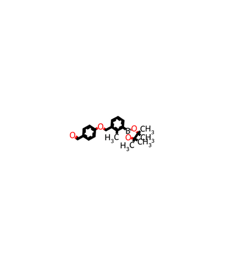 Cc1c(COc2ccc(C=O)cc2)cccc1B1OC(C)(C)C(C)(C)O1